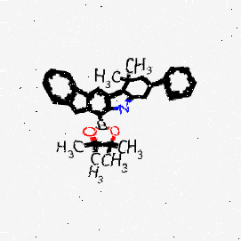 CC1(C)CC(c2ccccc2)CC2=Nc3c(B4OC(C)(C)C(C)(C)O4)c4c(cc3=C21)-c1ccccc1C=4